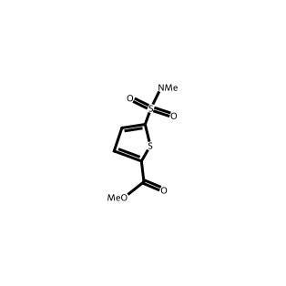 CNS(=O)(=O)c1ccc(C(=O)OC)s1